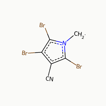 [CH2]n1c(Br)c(Br)c(C#N)c1Br